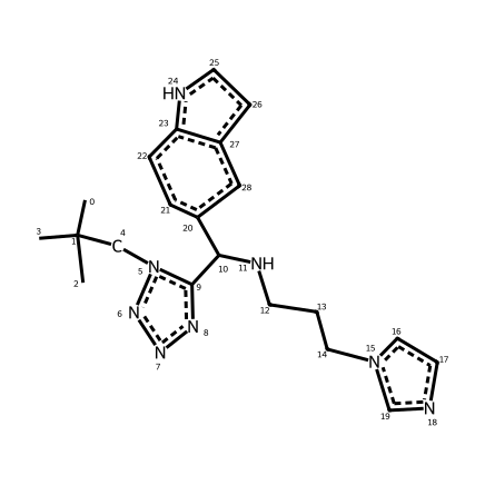 CC(C)(C)Cn1nnnc1C(NCCCn1ccnc1)c1ccc2[nH]ccc2c1